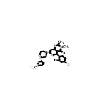 Cc1nc2cc([C@H]3CCO[C@@H](c4ccn(C)n4)C3)nc(-c3ccc(Cl)cc3F)c2c(=O)n1C